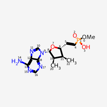 COP(=O)(O)/C=C/[C@H]1O[C@@H](n2cnc3c(N)ncnc32)[C@H](C)[C@@H]1C